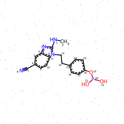 CNc1nc2cc(C#N)ccc2n1CCc1ccc(OP(O)O)cc1